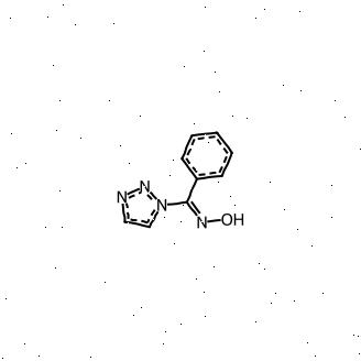 O/N=C(\c1ccccc1)n1ccnn1